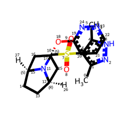 Cc1n[nH]c(C)c1S(=O)(=O)CN1[C@@H]2CC[C@H]1C[C@H](Oc1cccnn1)C2